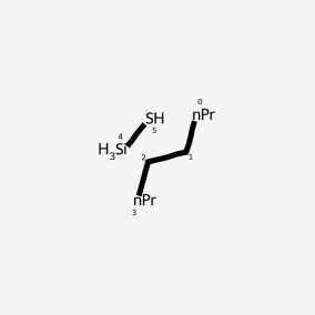 CCCCCCCC.[SiH3]S